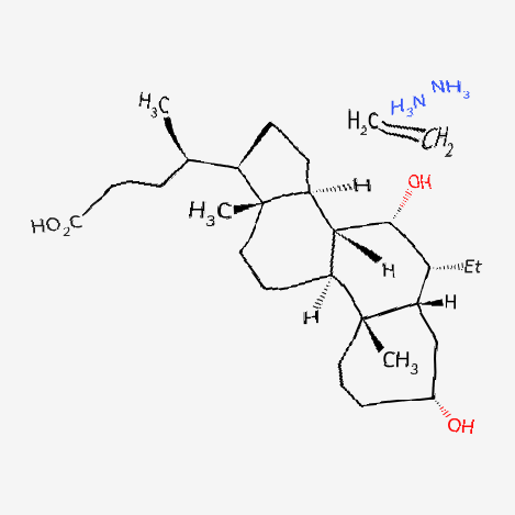 C=C.CC[C@H]1[C@@H](O)[C@@H]2[C@H](CC[C@]3(C)[C@@H]([C@H](C)CCC(=O)O)CC[C@@H]23)[C@@]2(C)CC[C@@H](O)C[C@@H]12.N.N